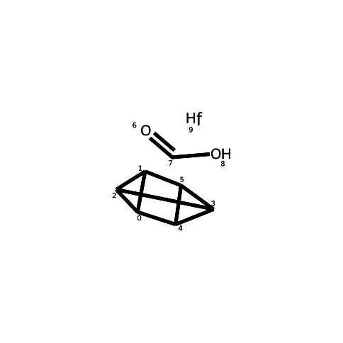 C12C3C1C1C2C31.O=CO.[Hf]